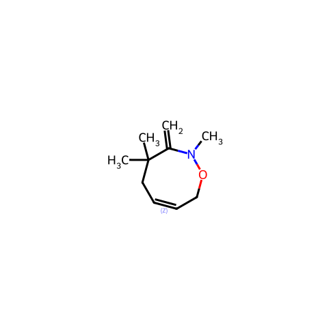 C=C1N(C)OC/C=C\CC1(C)C